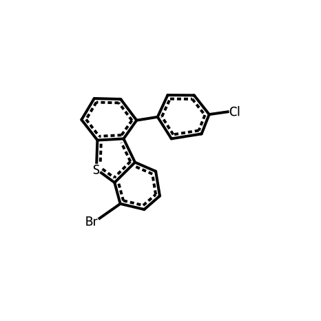 Clc1ccc(-c2cccc3sc4c(Br)cccc4c23)cc1